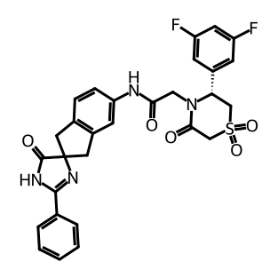 O=C(CN1C(=O)CS(=O)(=O)C[C@H]1c1cc(F)cc(F)c1)Nc1ccc2c(c1)CC1(C2)N=C(c2ccccc2)NC1=O